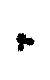 CCCOc1cccc(N2CCC3(CC2)CN([C@H]2CCNC2)C(=O)c2nc(-c4cccnc4OCC)ccc23)c1C(F)(F)F